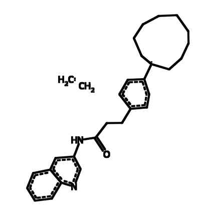 O=C(CCc1ccc([C]2CCCCCCCCC2)cc1)Nc1cnc2ccccc2c1.[CH2].[CH2]